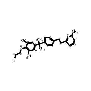 CC(C)(c1ccc(CCc2ccnc(N)n2)cc1)c1cc(Cl)c(OCCCl)c(C#N)c1